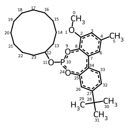 COc1cc(C)cc2c1op(OC1CCCCCCCCCCC1)oc1cc(C(C)(C)C)ccc12